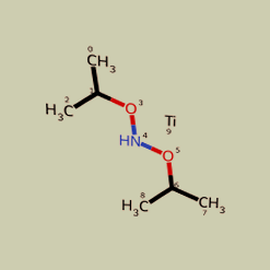 CC(C)ONOC(C)C.[Ti]